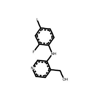 OCc1ccncc1Nc1ccc(I)cc1F